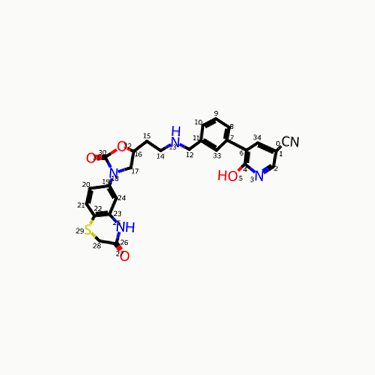 N#Cc1cnc(O)c(-c2cccc(CNCCC3CN(c4ccc5c(c4)NC(=O)CS5)C(=O)O3)c2)c1